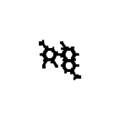 CCC(C)c1ccc2c(-c3cc(C(C)C)cc(C)c3C)[n+](C)ccc2c1